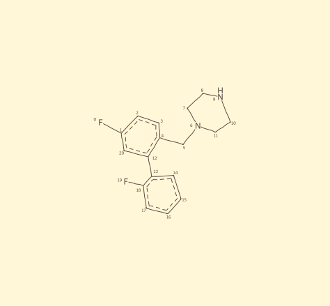 Fc1ccc(CN2CCNCC2)c(-c2ccccc2F)c1